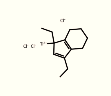 CCC1=C[C]([Ti+3])(CC)C2=C1CCCC2.[Cl-].[Cl-].[Cl-]